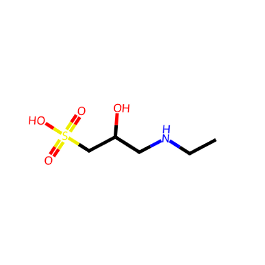 CCNCC(O)CS(=O)(=O)O